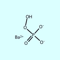 O=P([O-])([O-])OO.[Ba+2]